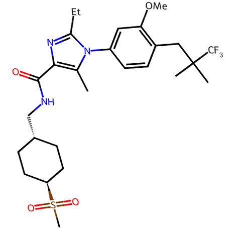 CCc1nc(C(=O)NC[C@H]2CC[C@H](S(C)(=O)=O)CC2)c(C)n1-c1ccc(CC(C)(C)C(F)(F)F)c(OC)c1